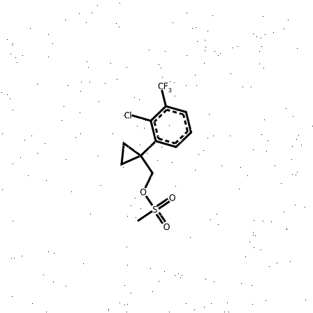 CS(=O)(=O)OCC1(c2cccc(C(F)(F)F)c2Cl)CC1